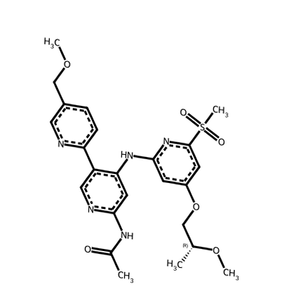 COCc1ccc(-c2cnc(NC(C)=O)cc2Nc2cc(OC[C@@H](C)OC)cc(S(C)(=O)=O)n2)nc1